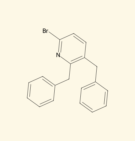 Brc1ccc(Cc2ccccc2)c(Cc2ccccc2)n1